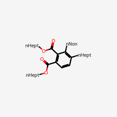 CCCCCCCCCc1c(CCCCCCC)ccc(C(=O)OCCCCCCC)c1C(=O)OCCCCCCC